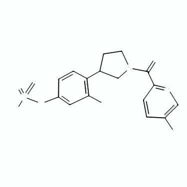 O=Cc1cc(OS(=O)(=O)C(F)(F)F)ccc1C1CCN(C(=O)c2ccc(F)cn2)C1